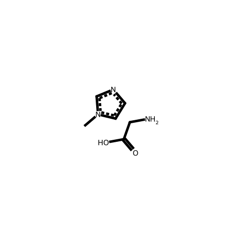 Cn1ccnc1.NCC(=O)O